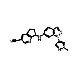 Cn1cc(-n2ncc3ccc(NC4CCc5cc(C#N)cnc54)cc32)cn1